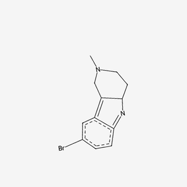 CN1CCC2N=c3ccc(Br)cc3=C2C1